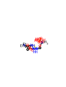 CC/N=c1\ccc2c(-c3ccccc3C(=O)OCC(=O)NNC(=S)N/N=C/c3cccc(OCCCN(C)CCC(O)(P(=O)(O)O)P(=O)(O)O)c3)c3ccc(N(CC)CC)cc3oc-2c1